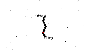 CCCCCCC=CCCCCCCCCCC[CH]CCCCCCCCC/C=C/CCCCCC